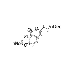 CCCCCCCCCCCCc1cc2ccc(OCCCCCCCCC)c(F)c2c(=O)o1